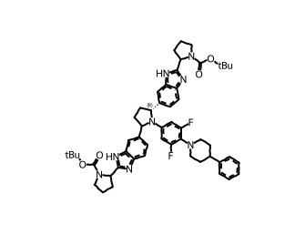 CC(C)(C)OC(=O)N1CCCC1c1nc2ccc(C3CC[C@H](c4ccc5nc(C6CCCN6C(=O)OC(C)(C)C)[nH]c5c4)N3c3cc(F)c(N4CCC(c5ccccc5)CC4)c(F)c3)cc2[nH]1